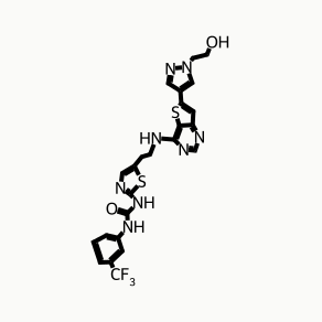 O=C(Nc1cccc(C(F)(F)F)c1)Nc1ncc(CCNc2ncnc3cc(-c4cnn(CCO)c4)sc23)s1